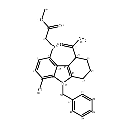 COC(=O)COc1ccc(Cl)c2c1c1c(n2Cc2ccccc2)CCCC1C(N)=O